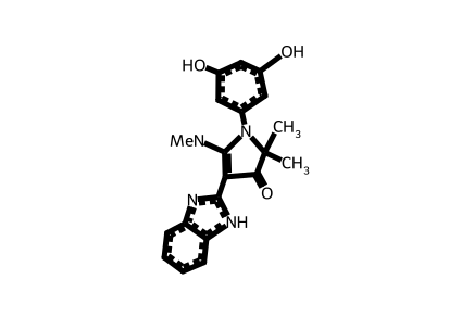 CNC1=C(c2nc3ccccc3[nH]2)C(=O)C(C)(C)N1c1cc(O)cc(O)c1